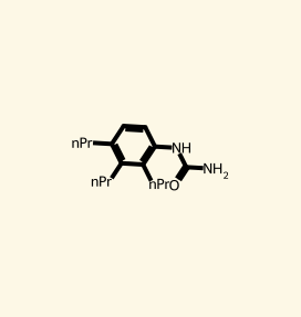 CCCc1ccc(NC(N)=O)c(CCC)c1CCC